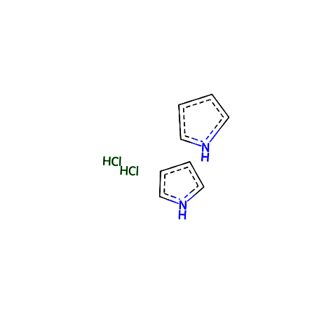 Cl.Cl.c1cc[nH]c1.c1cc[nH]c1